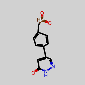 O=c1cc(-c2ccc(C[SH](=O)=O)cc2)cn[nH]1